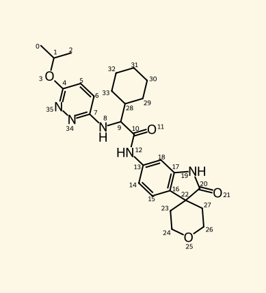 CC(C)Oc1ccc(NC(C(=O)Nc2ccc3c(c2)NC(=O)C32CCOCC2)C2CCCCC2)nn1